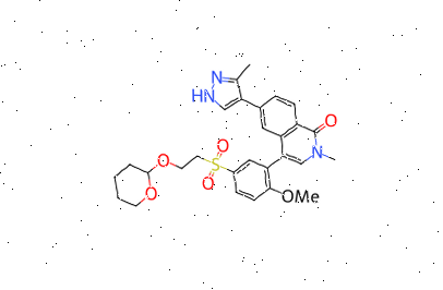 COc1ccc(S(=O)(=O)CCOC2CCCCO2)cc1-c1cn(C)c(=O)c2ccc(-c3c[nH]nc3C)cc12